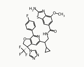 COc1cc(C(=O)NCC(c2cc3c(c(-c4ccc(F)cc4)n2)OC[C@@]3(n2cnnc2)C(F)(F)F)C2CC2)cc2sc(N)nc12